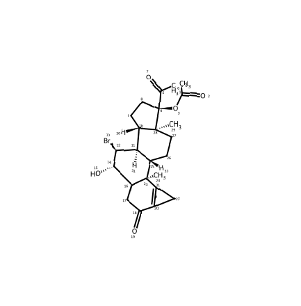 CC(=O)O[C@]1(C(C)=O)CC[C@H]2[C@@H]3[C@H](Br)[C@@H](O)C4CC(=O)C5=C(C5)[C@]4(C)[C@H]3CC[C@@]21C